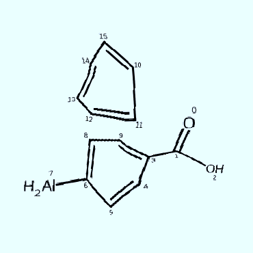 O=C(O)c1cc[c]([AlH2])cc1.c1ccccc1